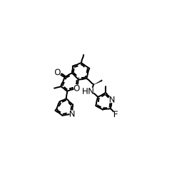 Cc1cc([C@@H](C)Nc2ccc(F)nc2C)c2oc(-c3cccnc3)c(C)c(=O)c2c1